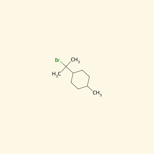 CC1CCC(C(C)(C)Br)CC1